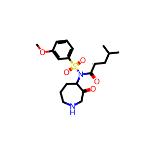 COc1cccc(S(=O)(=O)N(C(=O)[CH]CC(C)C)C2CCCNCC2=O)c1